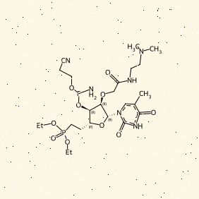 CCOP(=O)(CC[C@H]1O[C@@H](n2cc(C)c(=O)[nH]c2=O)[C@H](OCC(=O)NCCN(C)C)[C@@H]1OP(N)OCCC#N)OCC